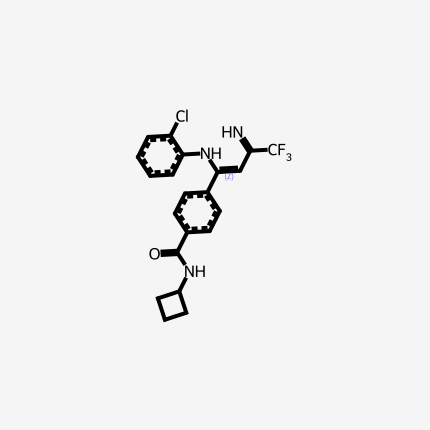 N=C(/C=C(\Nc1ccccc1Cl)c1ccc(C(=O)NC2CCC2)cc1)C(F)(F)F